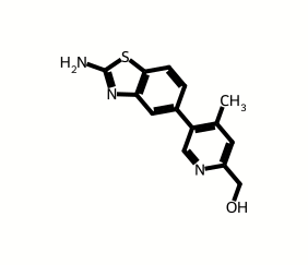 Cc1cc(CO)ncc1-c1ccc2sc(N)nc2c1